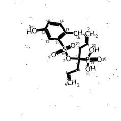 C=CCC(CC=C)(OS(=O)(=O)c1cc(O)ccc1C)P(=O)(O)O